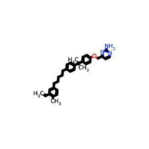 C=Cc1cc(CCCCCc2ccc(C(C)(C)c3ccc(OCc4ccnc(N)n4)cc3)cc2)ccc1C